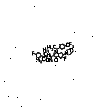 CC(c1ccc(C(F)(F)F)cc1)n1cc(-c2noc(C(C)(C)c3ccc(F)cc3)n2)c(=O)c2cc(F)c(N3CCOCC3)cc21